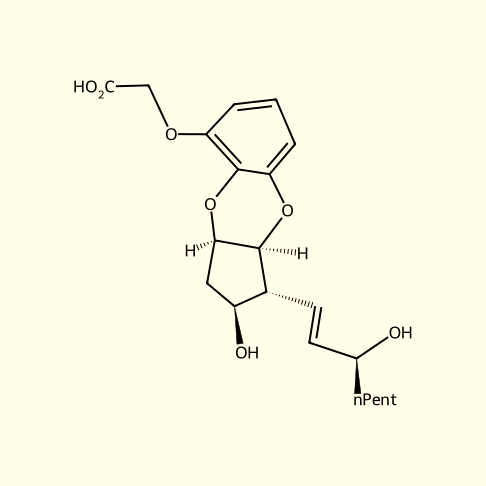 CCCCC[C@H](O)C=C[C@H]1[C@@H]2Oc3cccc(OCC(=O)O)c3O[C@@H]2C[C@@H]1O